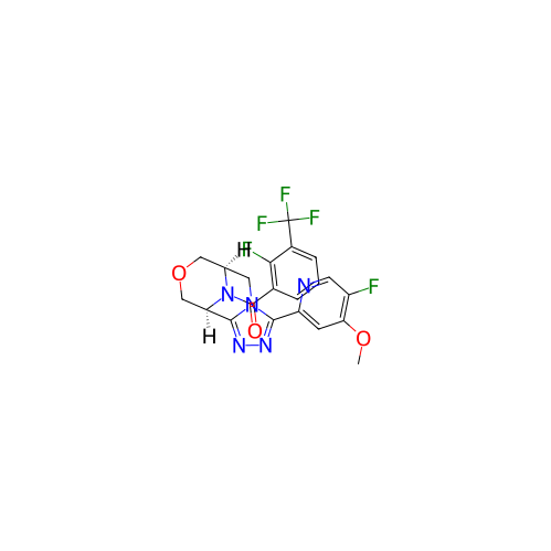 COc1cc(-c2nnc3n2C[C@@H]2COC[C@H]3N2C(=O)c2cccc(C(F)(F)F)c2F)ncc1F